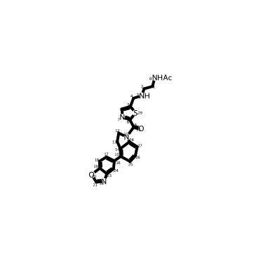 CC(=O)NCCNCc1cnc(C(=O)N2CCc3c(-c4ccc5ocnc5c4)cccc32)s1